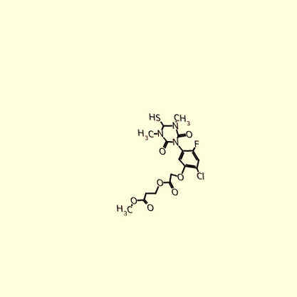 COC(=O)CCOC(=O)COc1cc(N2C(=O)N(C)C(S)N(C)C2=O)c(F)cc1Cl